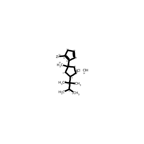 CC(C)C(C)(C)C1CCC(C)(C2=[C]([Zr])CC=C2)C1.Cl.Cl